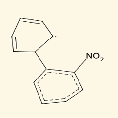 O=[N+]([O-])c1ccccc1C1[CH]C=CC=C1